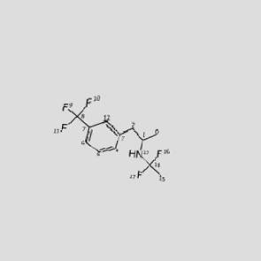 CC(Cc1cccc(C(F)(F)F)c1)NC(C)(F)F